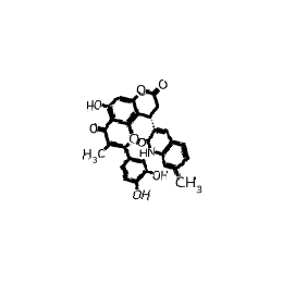 Cc1ccc2cc([C@H]3CC(=O)Oc4cc(O)c5c(=O)c(C)c(-c6ccc(O)c(O)c6)oc5c43)c(=O)[nH]c2c1